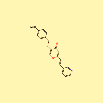 COc1ccc(COc2coc(/C=C/c3cccnc3)cc2=O)cc1